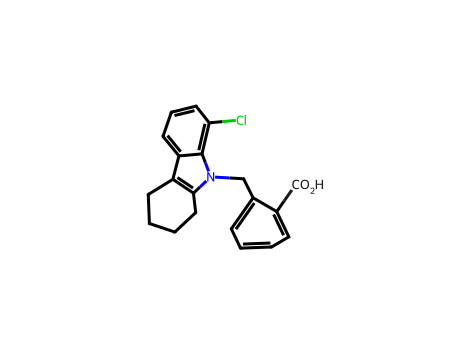 O=C(O)c1ccccc1Cn1c2c(c3cccc(Cl)c31)CCCC2